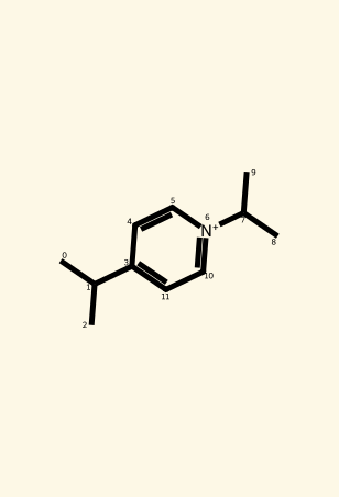 CC(C)c1cc[n+](C(C)C)cc1